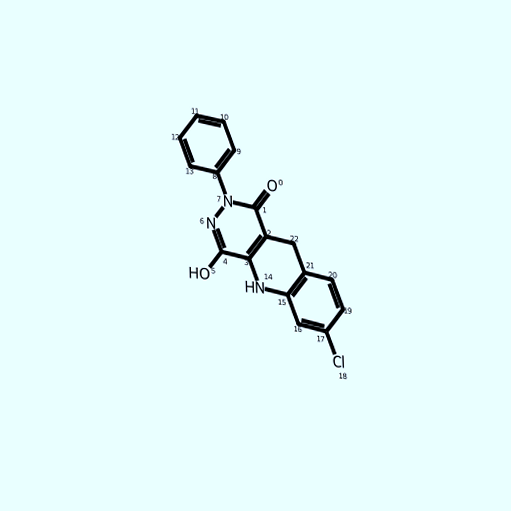 O=c1c2c(c(O)nn1-c1ccccc1)Nc1cc(Cl)ccc1C2